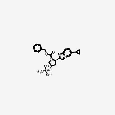 CC(C)(C)[Si](C)(C)O[C@H]1C[C@H](c2cn3cc(C4CC4)ccc3n2)N(C(=O)OCc2ccccc2)C1